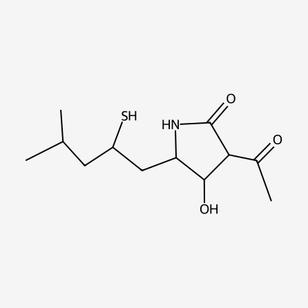 CC(=O)C1C(=O)NC(CC(S)CC(C)C)C1O